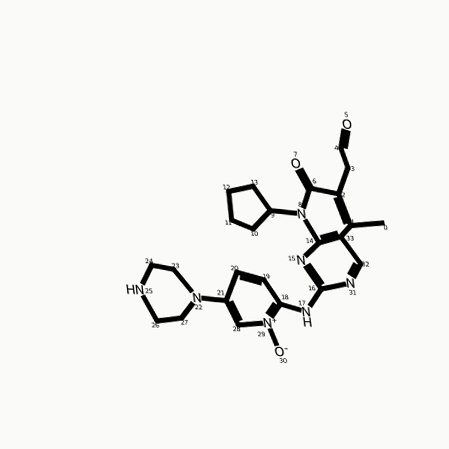 Cc1c(CC=O)c(=O)n(C2CCCC2)c2nc(Nc3ccc(N4CCNCC4)c[n+]3[O-])ncc12